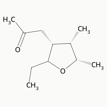 CCC1O[C@@H](C)[C@@H](C)[C@H]1CC(C)=O